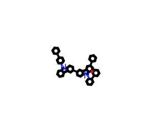 c1ccc(-c2ccc(-n3c4ccccc4c4cc(-c5ccc6c(c5)c5cc(-c7ccccc7)ccc5n6-c5ccccc5-c5ccccc5)ccc43)cc2)cc1